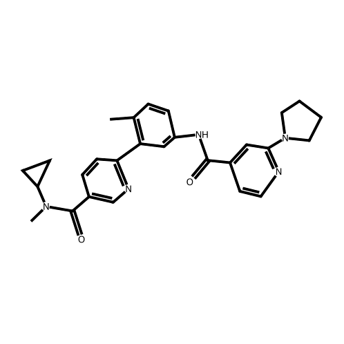 Cc1ccc(NC(=O)c2ccnc(N3CCCC3)c2)cc1-c1ccc(C(=O)N(C)C2CC2)cn1